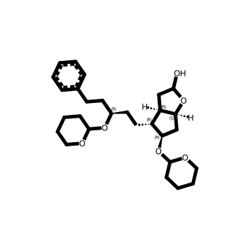 OC1C[C@@H]2[C@@H](CC[C@H](CCc3ccccc3)OC3CCCCO3)[C@H](OC3CCCCO3)C[C@@H]2O1